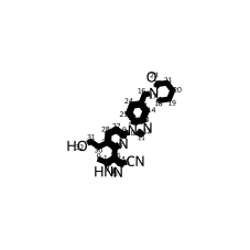 Cc1[nH]nc(C#N)c1-c1nc(-n2cnc3cc(CN4CCCCC4=O)ccc32)ccc1CCO